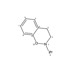 CC(C)N1CCc2ccccc2O1